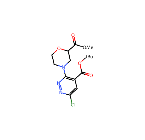 COC(=O)C1CN(c2nnc(Cl)cc2C(=O)OC(C)(C)C)CCO1